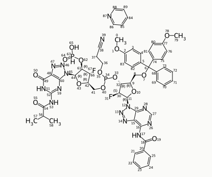 COc1ccc(C(OC[C@H]2O[C@@H](n3nnc4c(NC(=O)c5ccccc5)ncnc43)[C@@H](F)[C@@H]2OP(OCCC#N)OC[C@H]2O[C@@H](n3nnc4c(=O)[nH]c(NC(=O)C(C)C)nc43)[C@@H](O[PH](=O)O)[C@@H]2F)(c2ccccc2)c2ccc(OC)cc2)cc1.c1ccncc1